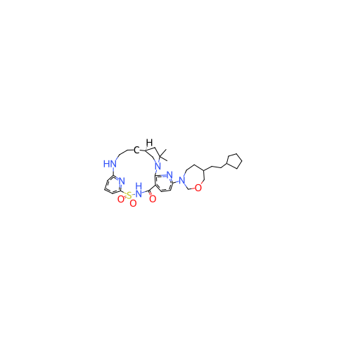 CC1(C)C[C@@H]2CCCNc3cccc(n3)S(=O)(=O)NC(=O)c3ccc(N4CCC(CCC5CCCC5)COC4)nc3N1C2